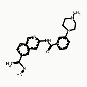 C=C(N=N)c1ccc2cnc(NC(=O)c3cccc(N4CCN(C)CC4)c3)cc2c1